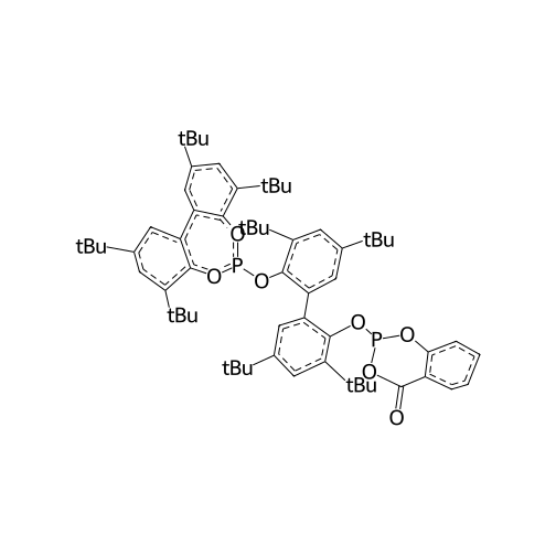 CC(C)(C)c1cc(-c2cc(C(C)(C)C)cc(C(C)(C)C)c2Op2oc3c(C(C)(C)C)cc(C(C)(C)C)cc3c3cc(C(C)(C)C)cc(C(C)(C)C)c3o2)c(OP2OC(=O)c3ccccc3O2)c(C(C)(C)C)c1